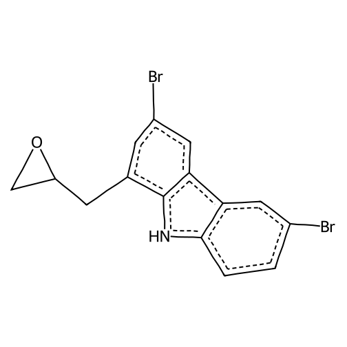 Brc1ccc2[nH]c3c(CC4CO4)cc(Br)cc3c2c1